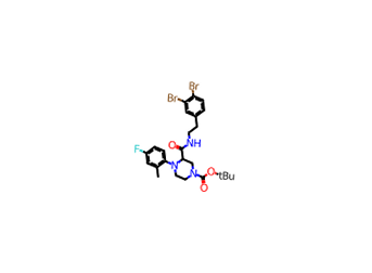 Cc1cc(F)ccc1N1CCN(C(=O)OC(C)(C)C)CC1C(=O)NCCc1ccc(Br)c(Br)c1